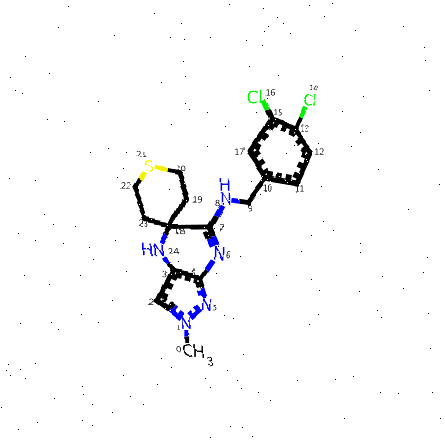 Cn1cc2c(n1)N=C(NCc1ccc(Cl)c(Cl)c1)C1(CCSCC1)N2